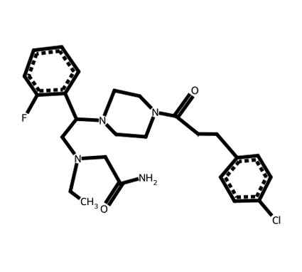 CCN(CC(N)=O)CC(c1ccccc1F)N1CCN(C(=O)[CH]Cc2ccc(Cl)cc2)CC1